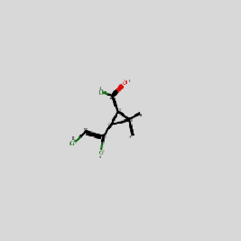 CC1(C)C(C(=O)Cl)C1C(Cl)=CCl